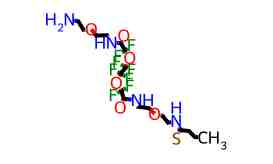 CCCC(=S)NCCOCCNC(=O)C(F)(F)OC(F)(F)C(F)(F)OC(F)(F)C(=O)NCCOCCN